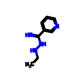 CCNNC(=N)c1cccnc1